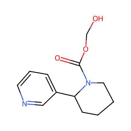 O=C(OCO)N1CCCCC1c1cccnc1